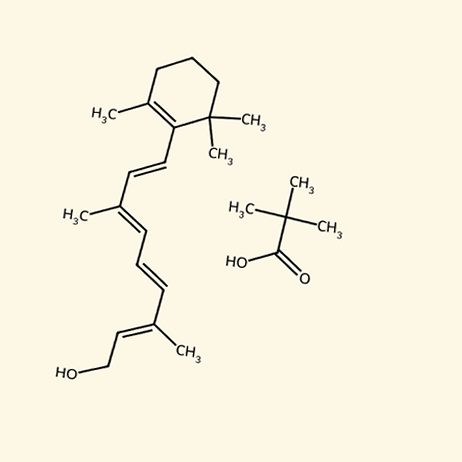 CC(C)(C)C(=O)O.CC(C=CC1=C(C)CCCC1(C)C)=CC=CC(C)=CCO